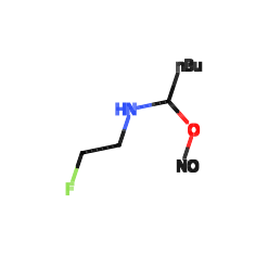 CCCCC(NCCF)ON=O